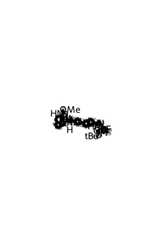 COC(=O)N[C@H]1CCc2cccc3c2N(C1=O)[C@H](c1ncc(-c2ccc(-c4ccc5cc(-c6cnc([C@@H]7CC(F)(F)CN7C(=O)OC(C)(C)C)[nH]6)ccc5c4)cc2)[nH]1)C3